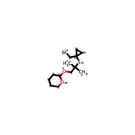 CC(C)(COC1CCCCO1)SC1(CBr)CC1